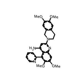 COc1cc2c(cc1OC)CN(c1cc(N)c3c(-c4ccccn4)c(OC)c(OC)cc3n1)CC2